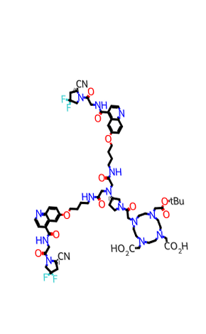 CC(C)(C)OC(=O)CN1CCN(CC(=O)O)CCN(CC(=O)O)CCN(CC(=O)N2CC[C@H](N(CC(=O)NCCCCOc3ccc4nccc(C(=O)NCC(=O)N5CC(F)(F)C[C@H]5C#N)c4c3)CC(=O)NCCCCOc3ccc4nccc(C(=O)NCC(=O)N5CC(F)(F)C[C@H]5C#N)c4c3)C2)CC1